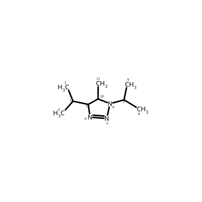 CC(C)C1N=NN(C(C)C)C1C